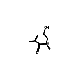 C[C@H](CCO)C(=O)N(C)C